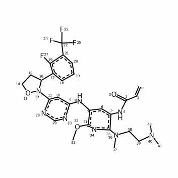 C=CC(=O)Nc1cc(Nc2cc(N3OCCC3c3cccc(C(F)(F)F)c3F)ncn2)c(OC)nc1N(C)CCN(C)C